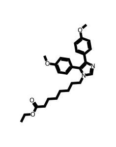 CCOC(=O)CCCCCCCn1cnc(-c2ccc(OC)cc2)c1-c1ccc(OC)cc1